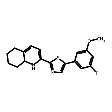 COc1cc(F)cc(-c2cnc(C3=CC=C4CCCCC4N3)s2)c1